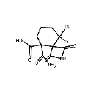 NC(=O)C1(C(N)=O)CCCC(O)(O)C12C(=O)NC2=O